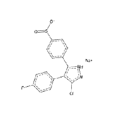 O=S([O-])c1ccc(-c2[nH]nc(Cl)c2-c2ccc(F)cc2)cc1.[Na+]